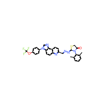 Cc1cccc(C)c1N1C(=O)CSC1=N/N=C/c1ccc2c(ccc3c2ncn3-c2ccc(OC(F)(F)F)cc2)n1